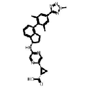 Cc1cc(-c2nnn(C)n2)cc(C)c1-c1cccc2c1CC[C@H]2Nc1cnc([C@H]2C[C@@H]2C(=O)O)cn1